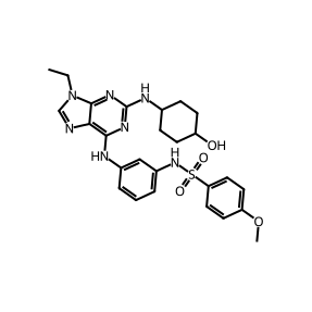 CCn1cnc2c(Nc3cccc(NS(=O)(=O)c4ccc(OC)cc4)c3)nc(NC3CCC(O)CC3)nc21